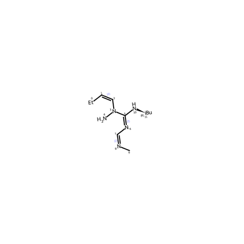 CC/C=C\N(N)/C(=N\C=N/C)N[C@H](C)CC